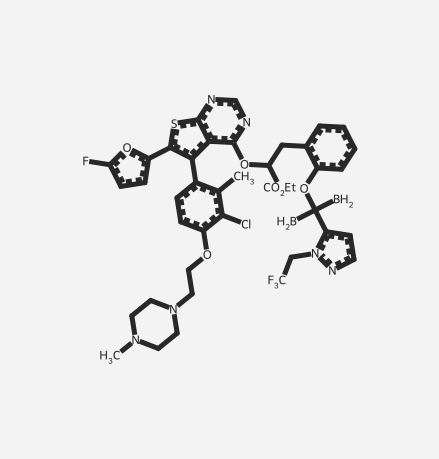 BC(B)(Oc1ccccc1CC(Oc1ncnc2sc(-c3ccc(F)o3)c(-c3ccc(OCCN4CCN(C)CC4)c(Cl)c3C)c12)C(=O)OCC)c1ccnn1CC(F)(F)F